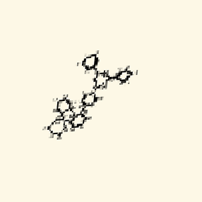 c1ccc(-c2cc(-c3ccc(-c4cccc5c4-c4ccccc4C54CCCCC4)cc3)nc(-c3ccccc3)n2)cc1